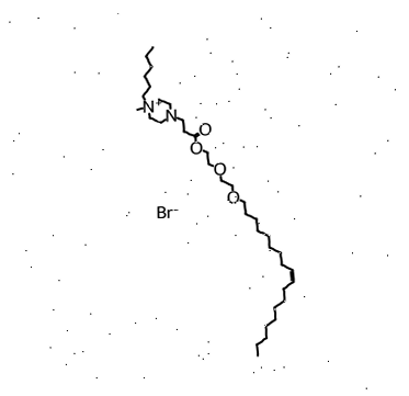 CCCCCCCC/C=C\CCCCCCCCOCCOCCOC(=O)CCN1CC[N+](C)(CCCCCC)CC1.[Br-]